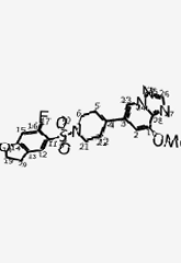 COc1cc(C2CCN(S(=O)(=O)c3cc4c(cc3F)OCC4)CC2)cn2ncnc12